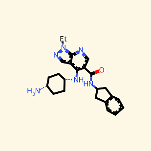 CCn1ncc2c(N[C@H]3CC[C@@H](N)CC3)c(C(=O)NC3Cc4ccccc4C3)cnc21